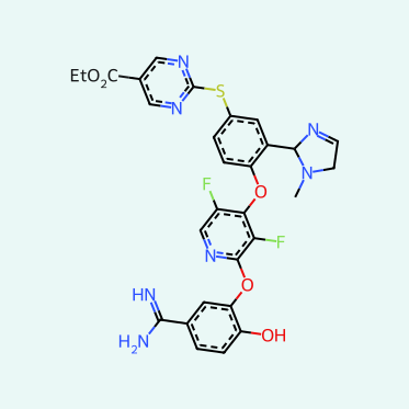 CCOC(=O)c1cnc(Sc2ccc(Oc3c(F)cnc(Oc4cc(C(=N)N)ccc4O)c3F)c(C3N=CCN3C)c2)nc1